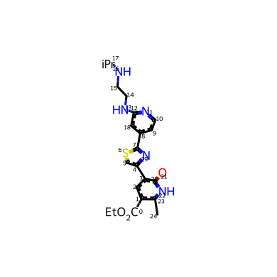 CCOC(=O)c1cc(-c2csc(-c3ccnc(NCCNC(C)C)c3)n2)c(=O)[nH]c1C